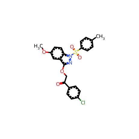 COc1ccc2c(c1)c(OCC(=O)c1ccc(Cl)cc1)nn2S(=O)(=O)c1ccc(C)cc1